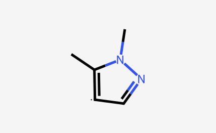 Cc1[c]cnn1C